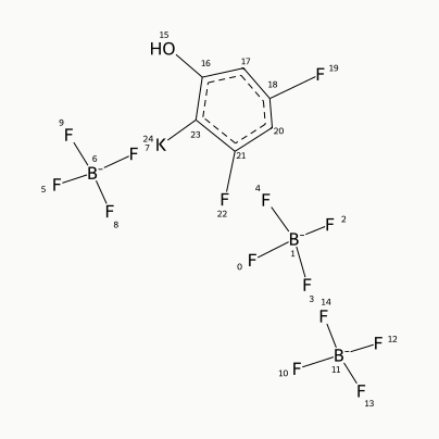 F[B-](F)(F)F.F[B-](F)(F)F.F[B-](F)(F)F.Oc1cc(F)cc(F)[c]1[K]